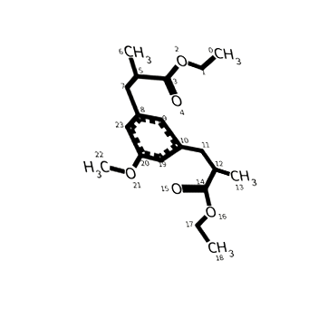 CCOC(=O)C(C)Cc1cc(CC(C)C(=O)OCC)cc(OC)c1